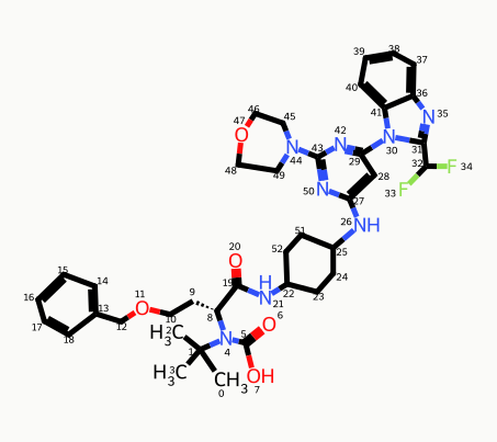 CC(C)(C)N(C(=O)O)[C@H](CCOCc1ccccc1)C(=O)NC1CCC(Nc2cc(-n3c(C(F)F)nc4ccccc43)nc(N3CCOCC3)n2)CC1